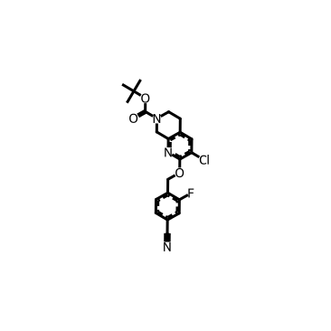 CC(C)(C)OC(=O)N1CCc2cc(Cl)c(OCc3ccc(C#N)cc3F)nc2C1